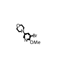 COc1ncc(N2CCOCC2)cc1Br